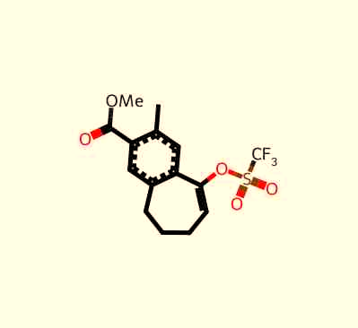 COC(=O)c1cc2c(cc1C)C(OS(=O)(=O)C(F)(F)F)=CCCC2